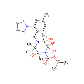 BC1(B)N(Cc2ccc(C(F)(F)F)cc2N2CCCC2)C(B)(O)C(O)(O)N(C(=O)OC(C(F)(F)F)C(F)(F)F)C1(B)O